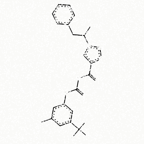 Cc1cc(NC(=O)NC(=O)c2c[n+](C(C)Cc3ccccc3)no2)cc(C(F)(F)F)c1